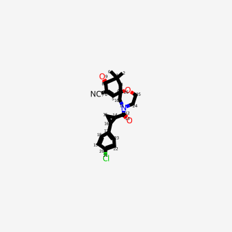 CC1(C)CC2(C=C(C#N)C1=O)CN(C(=O)C1CC1c1ccc(Cl)cc1)CCO2